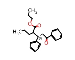 CCCOC(=O)C(CCC)[C@H](CC(=O)c1ccccc1)c1ccccc1